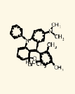 COC1(Br)C=CC=C2C1=C(c1c(C)cc(C)cc1C)c1cc(N(C)C)ccc1N2c1ccccc1